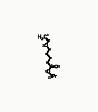 C=COCCCCC(=O)OC(C)C